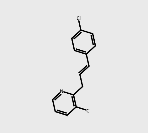 Clc1ccc(C=CCc2ncc[c]c2Cl)cc1